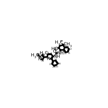 Cc1cc(NC(=O)NC2c3ccccc3C(C)(C)C[C@H]2O)c(-c2ccccc2)nc1-c1cnn(C)c1